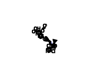 COCCOc1cc(C(=O)O)nc2ccc(N3CC4C(/C=C/c5c(-c6c(Cl)cncc6Cl)noc5C5CC5)C4C3)cc12